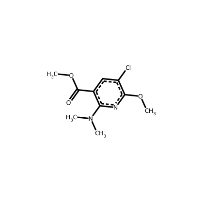 COC(=O)c1cc(Cl)c(OC)nc1N(C)C